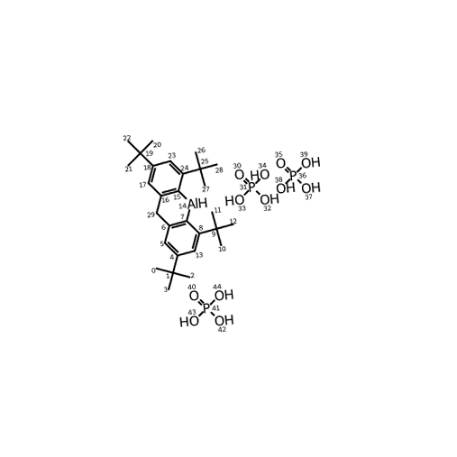 CC(C)(C)c1cc2[c](c(C(C)(C)C)c1)[AlH][c]1c(cc(C(C)(C)C)cc1C(C)(C)C)C2.O=P(O)(O)O.O=P(O)(O)O.O=P(O)(O)O